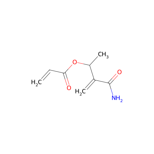 C=CC(=O)OC(C)C(=C)C(N)=O